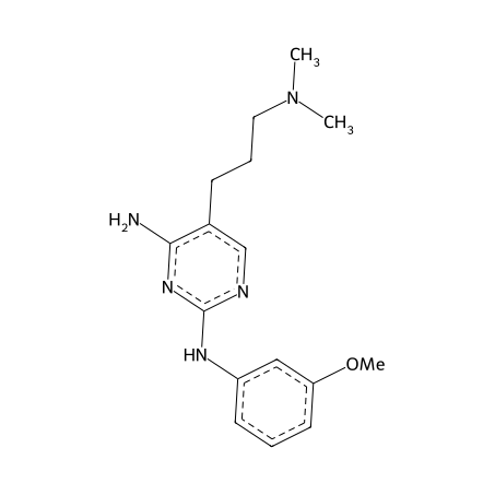 COc1cccc(Nc2ncc(CCCN(C)C)c(N)n2)c1